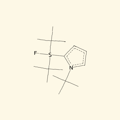 CC(C)(C)n1cccc1S(F)(C(C)(C)C)C(C)(C)C